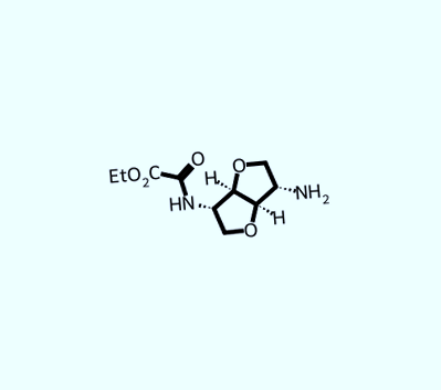 CCOC(=O)C(=O)N[C@H]1CO[C@H]2[C@@H]1OC[C@@H]2N